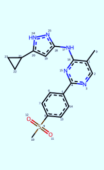 Cc1cnc(-c2ccc(S(C)(=O)=O)cc2)nc1Nc1cc(C2CC2)[nH]n1